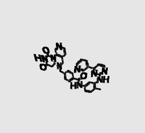 Cc1ccc(NC(=O)c2ccc(CN(C)Cc3ccncc3N3CCC(=O)NC3=O)cc2)cc1Nc1nccc(-c2cccnc2)n1